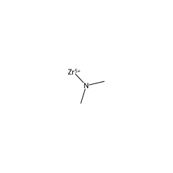 C[N](C)[Zr+5]